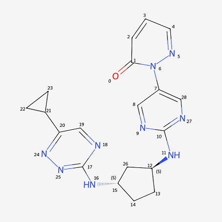 O=c1cccnn1-c1cnc(N[C@H]2CC[C@H](Nc3ncc(C4CC4)nn3)C2)nc1